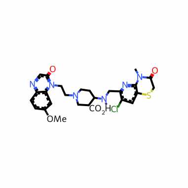 COc1ccc2ncc(=O)n(CCN3CCC(N(Cc4nc5c(cc4Cl)SCC(=O)N5C)C(=O)O)CC3)c2c1